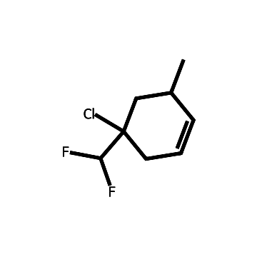 C[C]1C=CCC(Cl)(C(F)F)C1